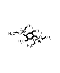 CCOP(=O)(Cc1cc(CC)c(CP(=O)(OCC)OCC)cc1CC)OCC